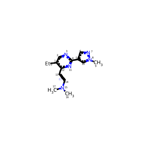 CCc1cnc(-c2cnn(C)c2)nc1/C=C/N(C)C